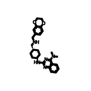 CN(C)c1nc(N[C@H]2CC[C@@H](CNCc3ccc4c(c3)OCCO4)CC2)nc2ccccc12